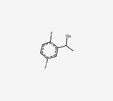 CC(O)c1cc(F)ccc1F